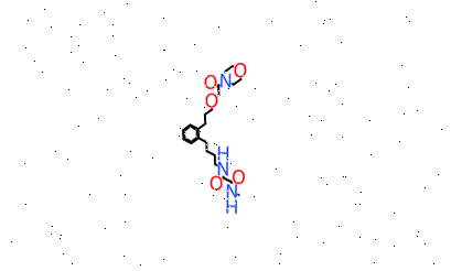 CNC(=O)C(=O)NCCCCc1ccccc1CCCOCC(=O)N1CCOCC1